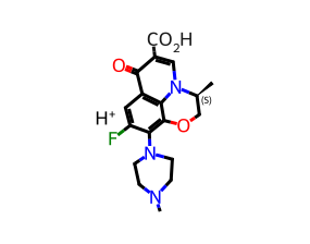 C[C@H]1COc2c(N3CCN(C)CC3)c(F)cc3c(=O)c(C(=O)O)cn1c23.[H+]